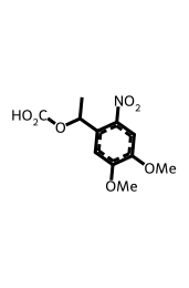 COc1cc(C(C)OC(=O)O)c([N+](=O)[O-])cc1OC